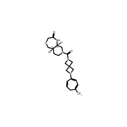 O=C1COC[C@H]2CCN(C(=O)N3CC4(C3)CN(C3=CC=C(C(F)(F)F)CC=C3)C4)C[C@H]2N1